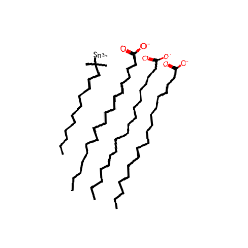 CCCCCCCCCCCCCCCCCC(=O)[O-].CCCCCCCCCCCCCCCCCC(=O)[O-].CCCCCCCCCCCCCCCCCC(=O)[O-].CCCCCCCCCCC[C](C)(C)[Sn+3]